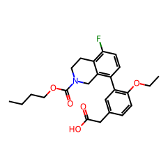 CCCCOC(=O)N1CCc2c(F)ccc(-c3cc(CC(=O)O)ccc3OCC)c2C1